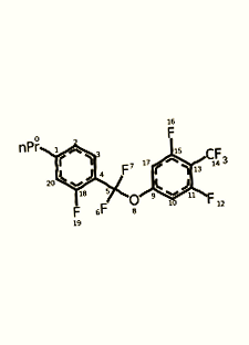 CCCc1ccc(C(F)(F)Oc2cc(F)c(C(F)(F)F)c(F)c2)c(F)c1